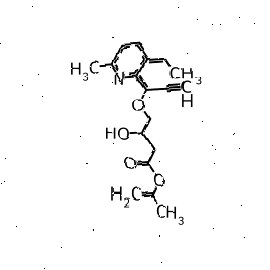 C#C/C(OCC(O)CC(=O)OC(=C)C)=c1/nc(C)cc/c1=C/C